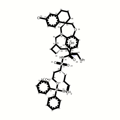 C=CCC[C@H](C[C@@H](C)O[Si](c1ccccc1)(c1ccccc1)C(C)(C)C)S(=O)(=O)NC(=O)c1ccc2c(c1)N(C[C@@H]1CC[C@H]1[C@@H](O)/C=C/CCC)C[C@@]1(CCCc3cc(Cl)ccc31)CO2